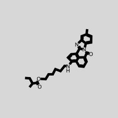 CCC(C)C(=O)OCCCCCCNc1ccc2c3c1cccc3c(=O)n1c3ccc(C)cc3nc21